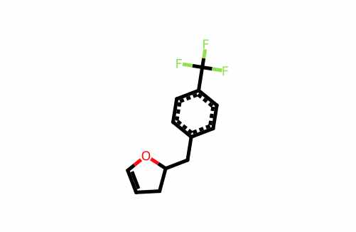 FC(F)(F)c1ccc(CC2CC=CO2)cc1